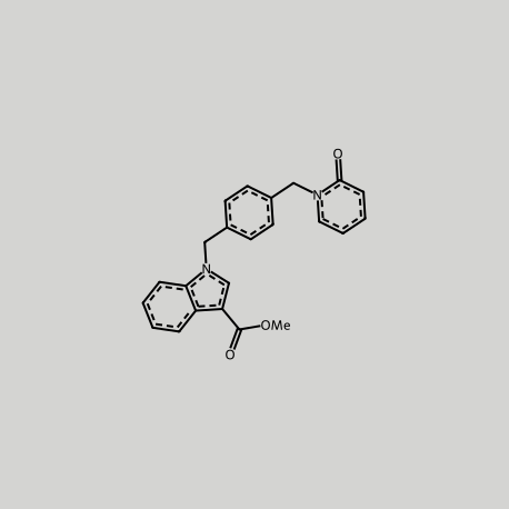 COC(=O)c1cn(Cc2ccc(Cn3ccccc3=O)cc2)c2ccccc12